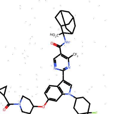 O=C(NC1(C(=O)O)C2CC3CC(C2)CC1C3)c1cnc(-c2cn(C3CCC(F)(F)CC3)c3cc(OC4CCN(C(=O)C5CC5)CC4)ccc23)nc1C(F)(F)F